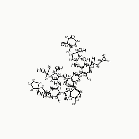 COC1(CNc2nc(C)c(-c3nc4c(C)nccc4s3)c(N[C@@H]3C[C@H](C(C)(C)O)[C@@H](O)[C@H]3Oc3nccc4sc(-c5c(C)nc(NCC6CC6)nc5N[C@@H]5C[C@H](CN6CCOCC6=O)[C@@H](O)[C@H]5O)nc34)n2)CCCC1